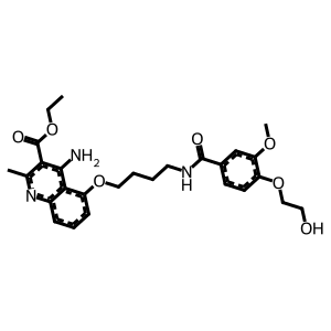 CCOC(=O)c1c(C)nc2cccc(OCCCCNC(=O)c3ccc(OCCO)c(OC)c3)c2c1N